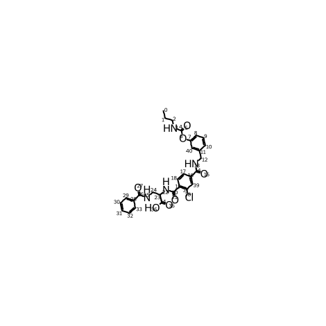 CCCNC(=O)Oc1cccc(CNC(=O)c2ccc(C(=O)NC(CNC(=O)c3ccccc3)C(=O)O)c(Cl)c2)c1